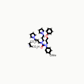 COc1ccc(N(CCCOc2ccccc2)C(=O)N(CCCN2CCCC2)CCCN2CCCC2)cc1.O=C(O)/C=C\C(=O)O